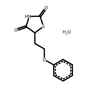 O.O=C1NC(=O)C(CCOc2ccccc2)S1